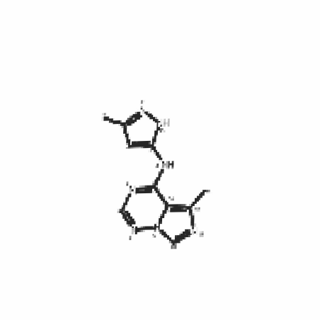 Cc1cc(Nc2ncnn3cnc(C)c23)[nH]n1